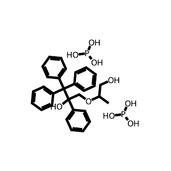 CC(CO)OCC(O)(c1ccccc1)C(c1ccccc1)(c1ccccc1)c1ccccc1.OP(O)O.OP(O)O